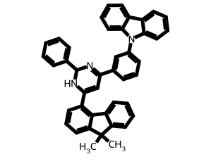 CC1(C)c2ccccc2-c2c(C3=CC(c4cccc(-n5c6ccccc6c6ccccc65)c4)=NC(c4ccccc4)N3)cccc21